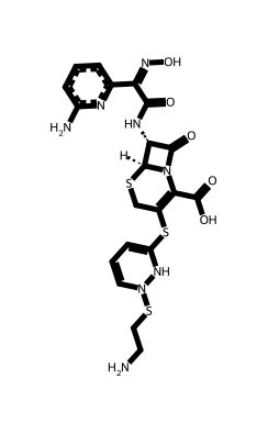 NCCSN1C=CC=C(SC2=C(C(=O)O)N3C(=O)[C@@H](NC(=O)/C(=N\O)c4cccc(N)n4)[C@@H]3SC2)N1